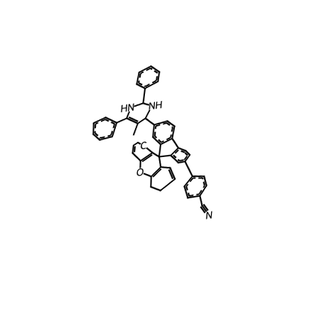 CC1=C(c2ccccc2)NC(c2ccccc2)NC1c1ccc2c(c1)C1(C3=C(CCC=C3)OC3=C1CCC=C3)c1cc(-c3ccc(C#N)cc3)ccc1-2